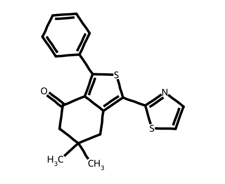 CC1(C)CC(=O)c2c(-c3ccccc3)sc(-c3nccs3)c2C1